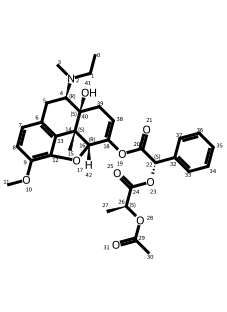 CCN(C)[C@@H]1Cc2ccc(OC)c3c2[C@@]2(C)[C@@H](O3)C(OC(=O)[C@@H](OC(=O)[C@H](C)OC(C)=O)c3ccccc3)=CC[C@@]12O